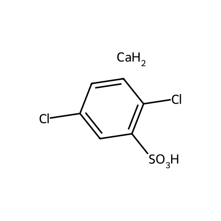 O=S(=O)(O)c1cc(Cl)ccc1Cl.[CaH2]